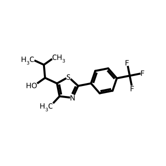 Cc1nc(-c2ccc(C(F)(F)F)cc2)sc1C(O)C(C)C